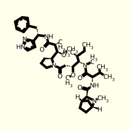 CC[C@H](C)[C@@H]([C@@H](CC(=O)N1CCC[C@H]1[C@H](OC)[C@@H](C)C(=O)N[C@@H](Cc1ccccc1)c1cc[nH]n1)OC)N(C)C(=O)[C@@H](NC(=O)[C@@H]1[C@H]2CC[C@H](C2)N1C)C(C)C